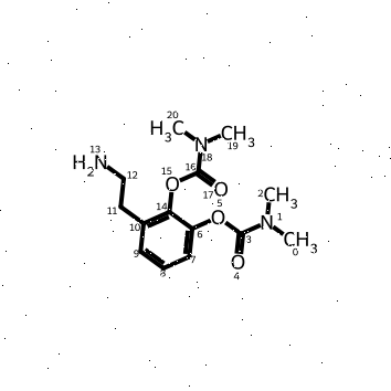 CN(C)C(=O)Oc1cccc(CCN)c1OC(=O)N(C)C